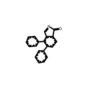 O=C1N=Cc2c1ccc(-c1ccccc1)c2-c1ccccc1